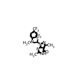 Cc1nc2c(c(C)nn2C(C)CN(C)c2ccc(C(F)(F)F)cc2)c(=O)[nH]1